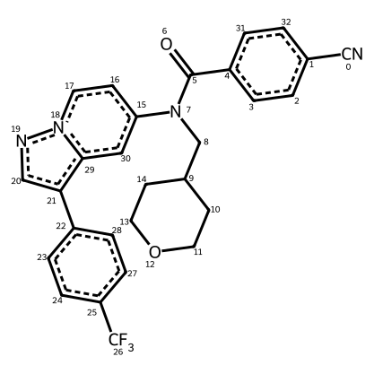 N#Cc1ccc(C(=O)N(CC2CCOCC2)c2ccn3ncc(-c4ccc(C(F)(F)F)cc4)c3c2)cc1